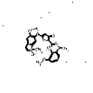 COc1cc2c(cc1OC1=CC(=O)C(C(=O)Nc3c(OC)cccc3OC)O1)[Si](C)(C)C=C2